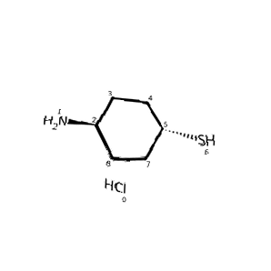 Cl.N[C@H]1CC[C@H](S)CC1